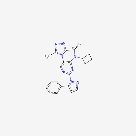 CC[C@@H]1c2nnc(C)n2-c2cnc(-n3nccc3-c3ccccc3)nc2N1C1CCC1